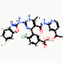 CC(=O)c1ccnc(NC(=O)C2=C(C)NC(Nc3nc4ccc(F)cc4o3)=NC2c2cc(C(=O)O)ccc2Cl)c1